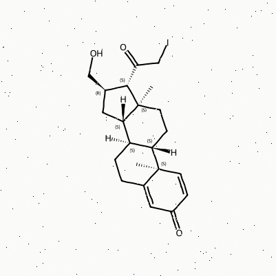 C[C@]12CC[C@H]3[C@@H](CCC4=CC(=O)C=C[C@@]43C)[C@@H]1C[C@@H](CO)[C@@H]2C(=O)CI